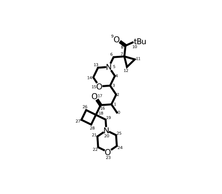 CC(CC1CN(CC2(C(=O)C(C)(C)C)CC2)CCO1)C(=O)C1(CN2CCOCC2)CCC1